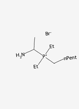 CCCCCC[P+](CC)(CC)C(C)N.[Br-]